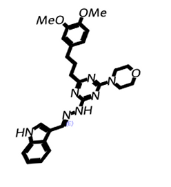 COc1ccc(CCCc2nc(N/N=C/c3c[nH]c4ccccc34)nc(N3CCOCC3)n2)cc1OC